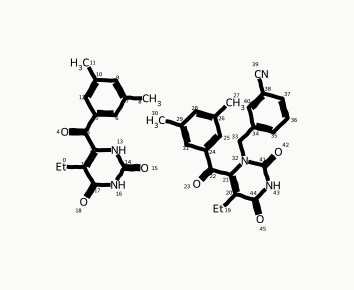 CCc1c(C(=O)c2cc(C)cc(C)c2)[nH]c(=O)[nH]c1=O.CCc1c(C(=O)c2cc(C)cc(C)c2)n(Cc2cccc(C#N)c2)c(=O)[nH]c1=O